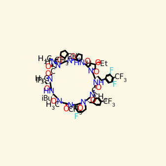 CCO[C@@H]1C[C@H]2C(=O)NC3(CCCC3)C(=O)N(C)[C@@H](C3CCCC3)C(=O)N(C)[C@H](C(=O)N(C)C)CC(=O)N(C)[C@@H](CC(C)C)C(=O)N[C@@H]([C@@H](C)CC)C(=O)N(C)CC(=O)N(C)[C@H]3C/C(F)=C\CCN(C3=O)[C@@H](Cc3ccc(C(F)(F)F)cc3)C(=O)N(C)CC(=O)N[C@@H](CCc3cc(F)c(C(F)(F)F)c(F)c3)C(=O)N2C1